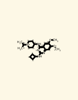 COc1cc2nc(NC3CCC3)nc(NC3CCN(C(C)C)CC3)c2cc1OC